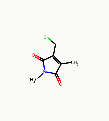 CC1=C(CCl)C(=O)N(C)C1=O